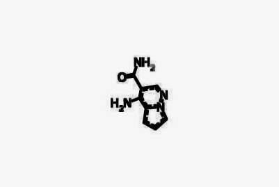 NC(=O)c1cnn2cccc2c1N